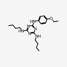 CCCCNc1nc(NCCCC)nc(Nc2ccc(OCC)cc2)n1